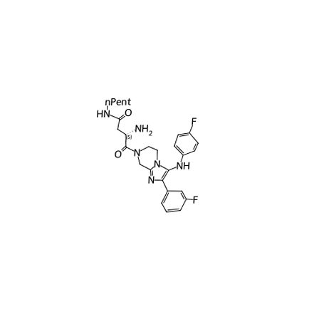 CCCCCNC(=O)C[C@H](N)C(=O)N1CCn2c(nc(-c3cccc(F)c3)c2Nc2ccc(F)cc2)C1